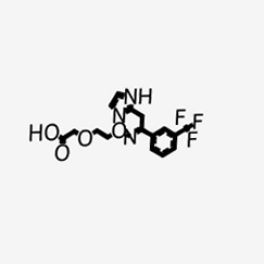 O=C(O)COCCON=C(Cc1ncc[nH]1)c1cccc(C(F)(F)F)c1